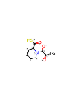 CC(C)(C)C(=O)C(=O)N1CCCCC1C(=O)S